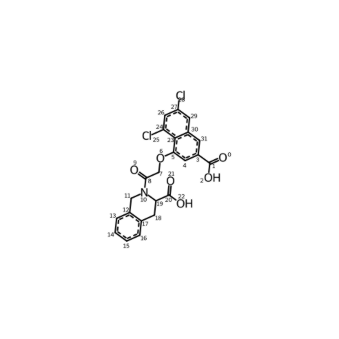 O=C(O)c1cc(OCC(=O)N2Cc3ccccc3CC2C(=O)O)c2c(Cl)cc(Cl)cc2c1